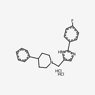 Cl.Cl.Fc1ccc(-c2ncc(CN3CCC(c4ccccc4)CC3)[nH]2)cc1